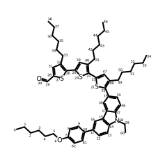 CCCCCCOc1ccc(-c2ccc3c(c2)c2cc(-c4sc(-c5sc(-c6sc(C=O)cc6CCCCCC)cc5CCCCCC)cc4CCCCCC)ccc2n3CC)cc1